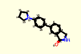 O=C1NCc2ccc(-c3ccc(N4CCCC4)cc3)cc21